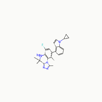 Cc1c(-c2cccc3c2ccn3C2CC2)cc(F)c2c1-n1c(C)nnc1C(C)(C)N2